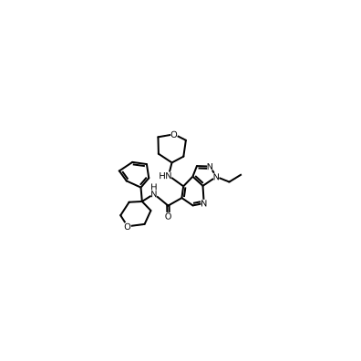 CCn1ncc2c(NC3CCOCC3)c(C(=O)NC3(c4ccccc4)CCOCC3)cnc21